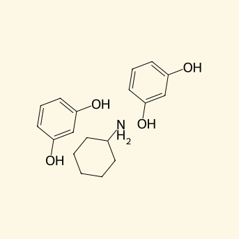 NC1CCCCC1.Oc1cccc(O)c1.Oc1cccc(O)c1